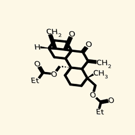 C=C1C(=O)C23CC[C@@H](CC2[C@]2(COC(=O)CC)CCC[C@@](C)(COC(=O)CC)C12)C(=C)C3=O